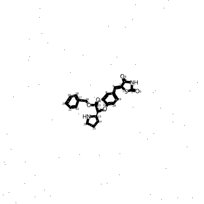 O=C1NC(=O)C(=Cc2ccc(OC(C(=O)OCc3ccccc3)[C@H]3CCCN3)cc2)S1